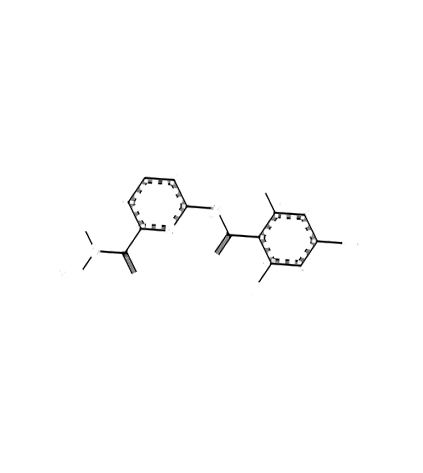 CON(C)C(=O)c1cccc(NC(=O)c2c(F)cc(F)cc2F)n1